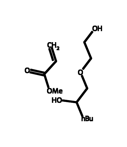 C=CC(=O)OC.CCCCC(O)COCCO